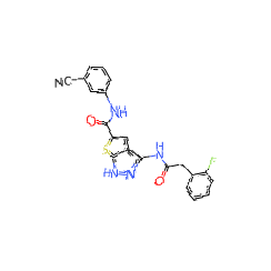 N#Cc1cccc(NC(=O)c2cc3c(NC(=O)Cc4ccccc4F)n[nH]c3s2)c1